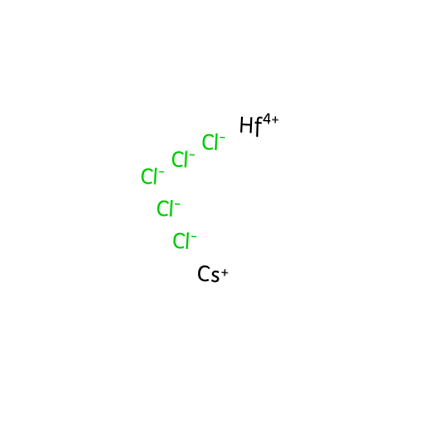 [Cl-].[Cl-].[Cl-].[Cl-].[Cl-].[Cs+].[Hf+4]